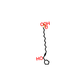 O=S(=O)(O)CCCCCCCCCCCCC#C[C@@H](O)C1CCCCC1